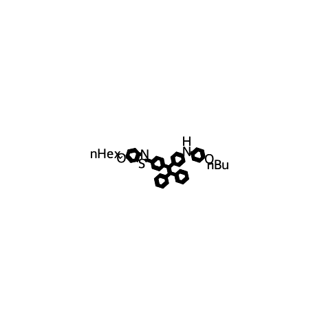 CCCCCCOc1ccc2nc(-c3ccc(C(=C(c4ccccc4)c4ccccc4)c4ccc(Nc5ccc(OCCCC)cc5)cc4)cc3)sc2c1